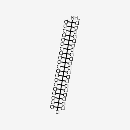 NC(Cl)(Cl)C(Cl)(Cl)C(Cl)(Cl)C(Cl)(Cl)C(Cl)(Cl)C(Cl)(Cl)C(Cl)(Cl)C(Cl)(Cl)C(Cl)(Cl)C(Cl)(Cl)C(Cl)(Cl)C(Cl)(Cl)C(Cl)(Cl)C(Cl)(Cl)C(Cl)(Cl)C(Cl)(Cl)C(Cl)(Cl)C(Cl)(Cl)C(Cl)(Cl)C(Cl)(Cl)Cl